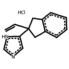 C=CC1(c2cnc[nH]2)Cc2ccccc2C1.Cl